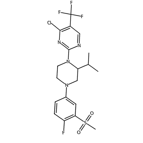 CC(C)C1CN(c2ccc(F)c(S(C)(=O)=O)c2)CCN1c1ncc(C(F)(F)F)c(Cl)n1